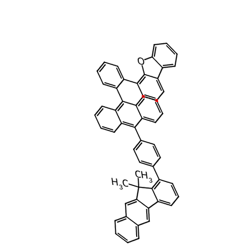 CC1(C)c2cc3ccccc3cc2-c2cccc(-c3ccc(-c4c5ccccc5c(-c5ccccc5-c5cccc6c5oc5ccccc56)c5ccccc45)cc3)c21